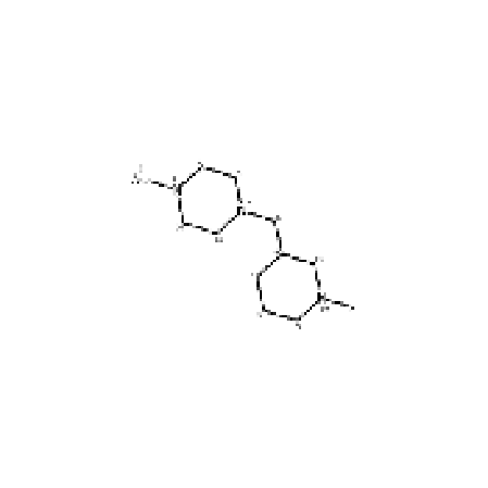 CC(=O)N1CCN(CC2CCCN(C)C2)CC1